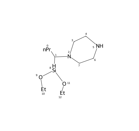 CCCC(N1CCNCC1)[SiH](OCC)OCC